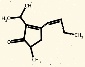 CC/C=C\C1=C(C(C)C)C(=O)C(C)C1